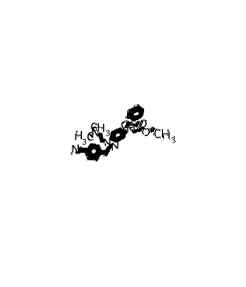 CCOC(=O)CN(c1ccc2c(c1)nc(Cc1ccc(C#N)cc1)n2CCN(C)C)S(=O)(=O)c1ccccc1